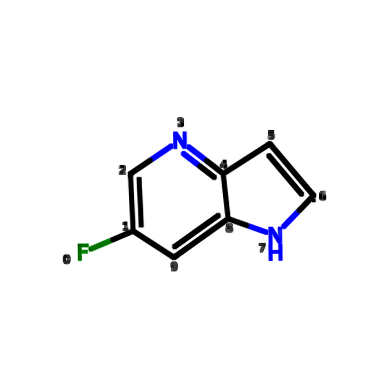 Fc1cnc2c[c][nH]c2c1